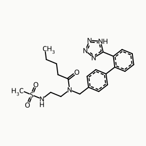 CCCCC(=O)N(CCNS(C)(=O)=O)Cc1ccc(-c2ccccc2-c2nnn[nH]2)cc1